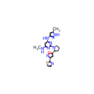 CNc1cc(Nc2cc(C)[nH]n2)nc(N2CCC[C@H]2c2cc(-c3nccs3)no2)n1